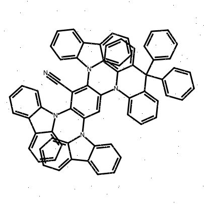 N#Cc1c(-n2c3ccccc3c3ccccc32)c(N2c3ccccc3C(c3ccccc3)(c3ccccc3)c3ccccc32)cc(-n2c3ccccc3c3ccccc32)c1-n1c2ccccc2c2ccccc21